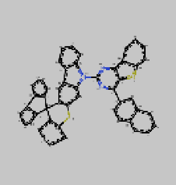 c1ccc2c(c1)Sc1cc3c(cc1C21c2ccccc2-c2ccccc21)c1ccccc1n3-c1nc(-c2ccc3ccccc3c2)c2sc3ccccc3c2n1